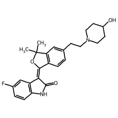 CC1(C)OC(=C2C(=O)Nc3ccc(F)cc32)c2ccc(CCN3CCC(O)CC3)cc21